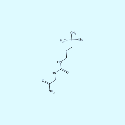 CC(C)(C)C(C)(C)CCCNC(=O)NCC(N)=O